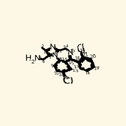 Cc1nc2n(c1CN)-c1ccc(Cl)cc1C(c1ccccc1Cl)=NC2